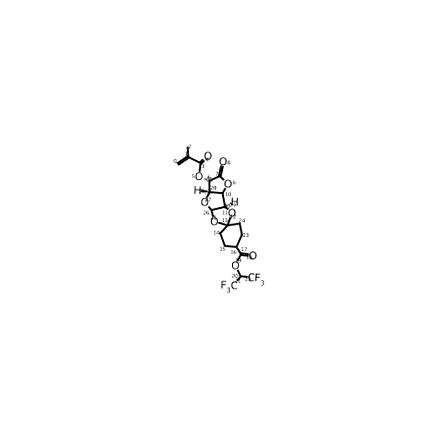 C=C(C)C(=O)O[C@@H]1C(=O)OC2[C@H]3OC4(CCC(C(=O)OC(C(F)(F)F)C(F)(F)F)CC4)OC3O[C@@H]21